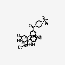 C=C(CC)[C@H]1NC(=O)C[C@@H](c2cc(Cl)cc(C(=O)N3CCN(S(C)(=O)=O)CC3)c2)[C@]12C(=O)Nc1cc(Cl)ccc12